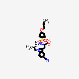 CC#CCOc1ccc(S(=O)(=O)NC(Cc2cn(CC(C)C)c3ccc(C#N)cc23)C(=O)O)cc1